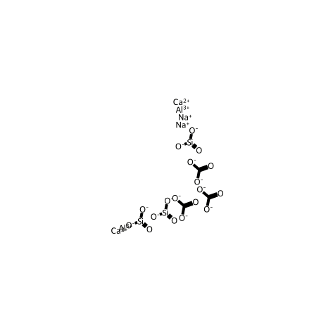 O=C([O-])[O-].O=C([O-])[O-].O=C([O-])[O-].O=[Si]([O-])[O-].O=[Si]([O-])[O-].O=[Si]([O-])[O-].[Al+3].[Al+3].[Ca+2].[Ca+2].[Na+].[Na+]